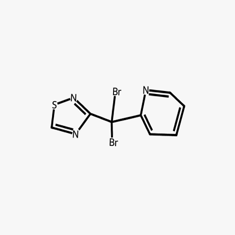 BrC(Br)(c1ccccn1)c1ncsn1